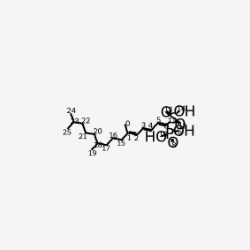 C\C(=C/C=C/C=C(\P(=O)(O)O)S(=O)(=O)O)CCCC(C)CCCC(C)C